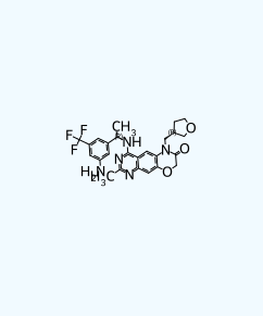 Cc1nc(N[C@H](C)c2cc(N)cc(C(F)(F)F)c2)c2cc3c(cc2n1)OCC(=O)N3C[C@H]1CCOC1